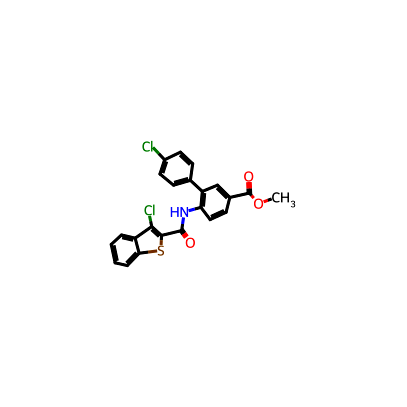 COC(=O)c1ccc(NC(=O)c2sc3ccccc3c2Cl)c(-c2ccc(Cl)cc2)c1